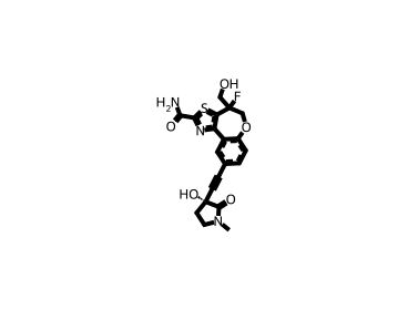 CN1CC[C@@](O)(C#Cc2ccc3c(c2)-c2nc(C(N)=O)sc2C(F)(CO)CO3)C1=O